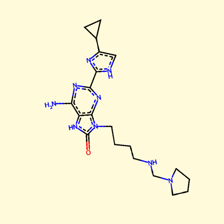 Nc1nc(-c2nc(C3CC3)c[nH]2)nc2c1[nH]c(=O)n2CCCCNCN1CCCC1